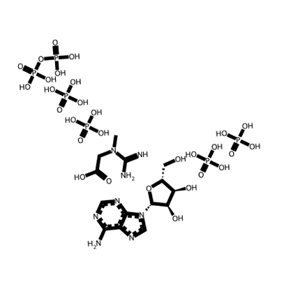 CN(CC(=O)O)C(=N)N.Nc1ncnc2c1ncn2[C@@H]1O[C@H](CO)[C@@H](O)[C@H]1O.O=P(O)(O)O.O=P(O)(O)O.O=P(O)(O)O.O=P(O)(O)O.O=P(O)(O)OP(=O)(O)O